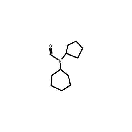 O=[C]N(C1CCCCC1)C1CCCC1